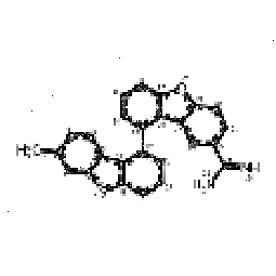 Cc1ccc2c(c1)sc1cccc(-c3cccc4oc5ccc(C(=N)N)cc5c34)c12